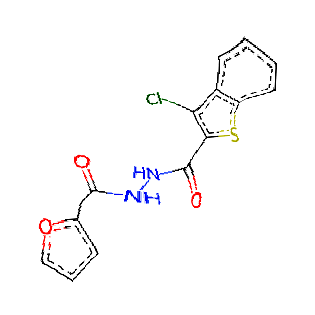 O=C(NNC(=O)c1sc2ccccc2c1Cl)c1ccco1